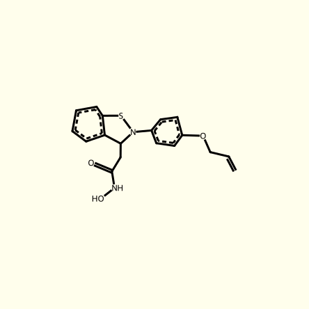 C=CCOc1ccc(N2Sc3ccccc3C2CC(=O)NO)cc1